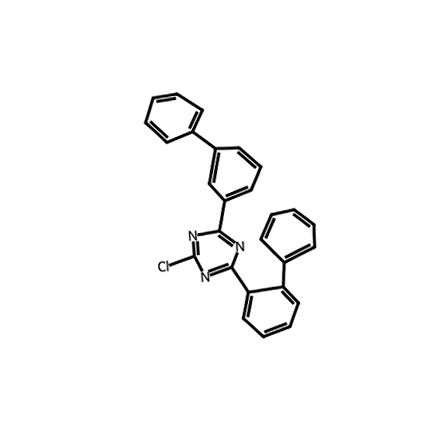 Clc1nc(-c2cccc(-c3ccccc3)c2)nc(-c2ccccc2-c2ccccc2)n1